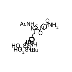 CC(=O)Nc1nc(CCc2ccc(NC(N(C(=O)O)C(C)(C)C)N(C(=O)O)C(C)(C)C)cc2)c(C(=O)N2CCC(C(N)=O)CC2)s1